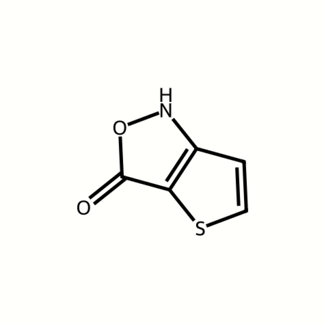 O=c1o[nH]c2ccsc12